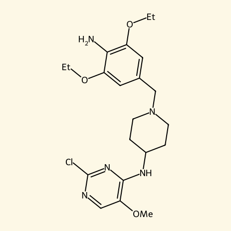 CCOc1cc(CN2CCC(Nc3nc(Cl)ncc3OC)CC2)cc(OCC)c1N